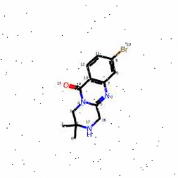 CC1(C)Cn2c(nc3cc(Br)ccc3c2=O)CN1